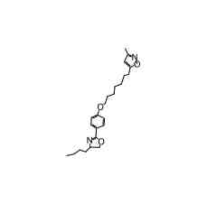 CCCCC1COC(c2ccc(OCCCCCCCc3cc(C)no3)cc2)=N1